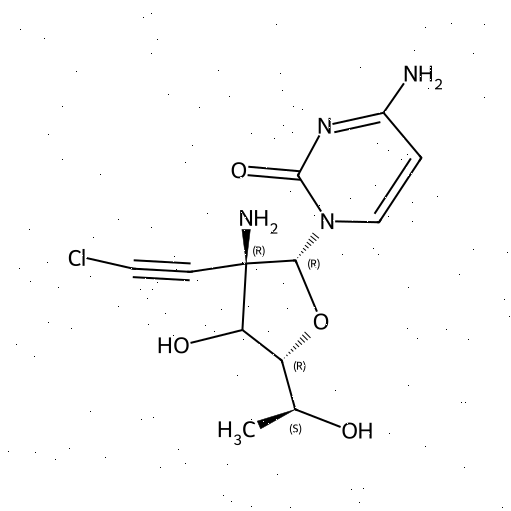 C[C@H](O)[C@H]1O[C@@H](n2ccc(N)nc2=O)[C@@](N)(C#CCl)C1O